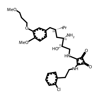 COCCCOc1cc(C[C@@H](C[C@H](N)[C@@H](O)CNc2c(NCCc3ccccc3Cl)c(=O)c2=O)C(C)C)ccc1OC